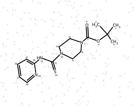 CC(C)(C)OC(=O)N1CCN(C(=S)Nc2ccccn2)CC1